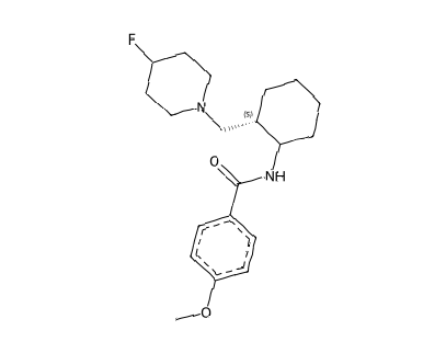 COc1ccc(C(=O)NC2CCCC[C@H]2CN2CCC(F)CC2)cc1